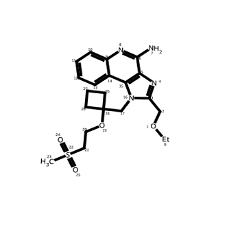 CCOCc1nc2c(N)nc3ccccc3c2n1CC1(OCCS(C)(=O)=O)CCC1